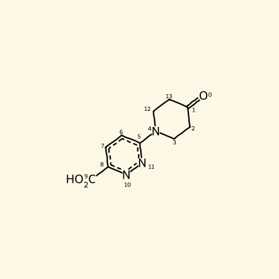 O=C1CCN(c2ccc(C(=O)O)nn2)CC1